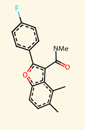 CNC(=O)c1c(-c2ccc(F)cc2)oc2ccc(C)c(C)c12